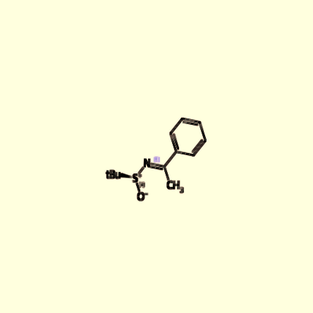 C/C(=N\[S@@+]([O-])C(C)(C)C)c1ccccc1